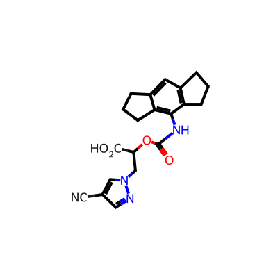 N#Cc1cnn(CC(OC(=O)Nc2c3c(cc4c2CCC4)CCC3)C(=O)O)c1